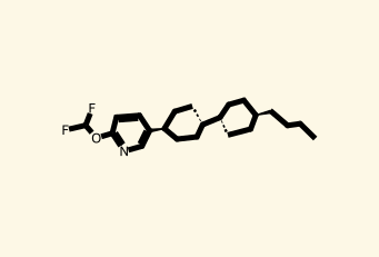 CCCC[C@H]1CC[C@H]([C@H]2CC[C@H](c3ccc(OC(F)F)nc3)CC2)CC1